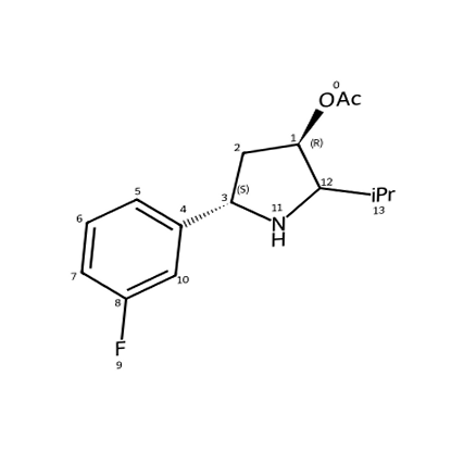 CC(=O)O[C@@H]1C[C@@H](c2cccc(F)c2)NC1C(C)C